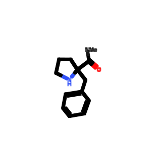 CNC(=O)C1(Cc2ccccc2)CCCN1